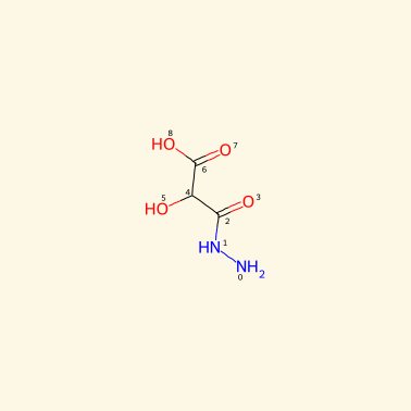 NNC(=O)C(O)C(=O)O